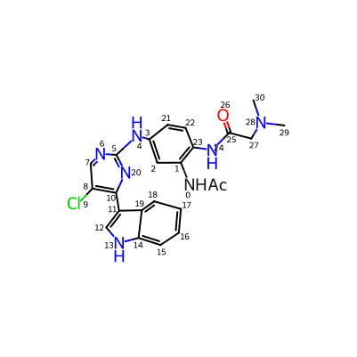 CC(=O)Nc1cc(Nc2ncc(Cl)c(-c3c[nH]c4ccccc34)n2)ccc1NC(=O)CN(C)C